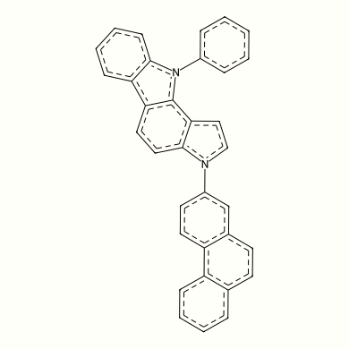 c1ccc(-n2c3ccccc3c3ccc4c(ccn4-c4ccc5c(ccc6ccccc65)c4)c32)cc1